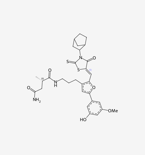 COc1cc(O)cc(-c2cc(CCCNC(=O)[C@@H](C)CC(N)=O)c(/C=C3\SC(=S)N(C4CC5CCC4C5)C3=O)o2)c1